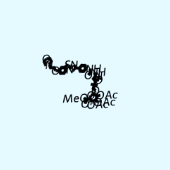 COC(=O)C1O[C@@H](OCC(C)(C)c2cc(NC(=O)Nc3ccc(C4CN5C(=N4)Sc4cc(OCCN6CCOCC6)ccc45)cc3)no2)C(OC(C)=O)C(OC(C)=O)[C@@H]1OC(C)=O